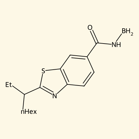 BNC(=O)c1ccc2nc(C(CC)CCCCCC)sc2c1